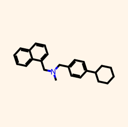 CN(Cc1ccc(C2CCCCC2)cc1)Cc1cccc2ccccc12